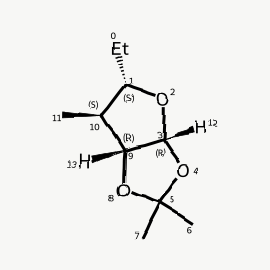 CC[C@@H]1O[C@@H]2OC(C)(C)O[C@@H]2[C@H]1C